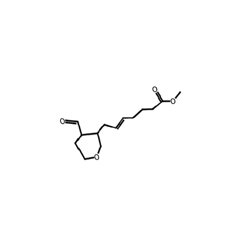 COC(=O)CCCC=CCC1COCCC1C=O